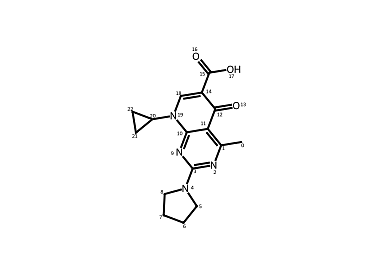 Cc1nc(N2CCCC2)nc2c1c(=O)c(C(=O)O)cn2C1CC1